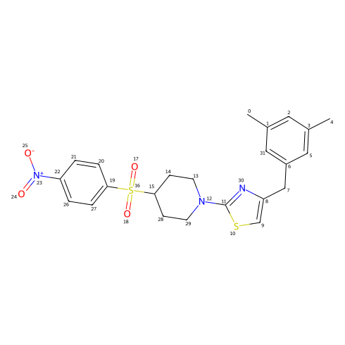 Cc1cc(C)cc(Cc2csc(N3CCC(S(=O)(=O)c4ccc([N+](=O)[O-])cc4)CC3)n2)c1